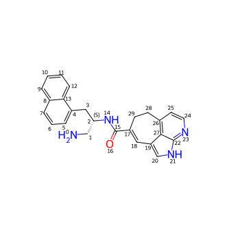 NC[C@H](Cc1cccc2ccccc12)NC(=O)C1=Cc2c[nH]c3nccc(c23)CC1